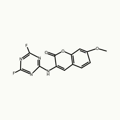 COc1ccc2cc(Nc3nc(F)nc(F)n3)c(=O)oc2c1